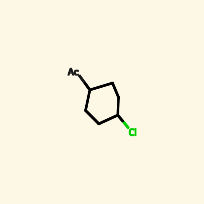 CC(=O)C1CCC(Cl)CC1